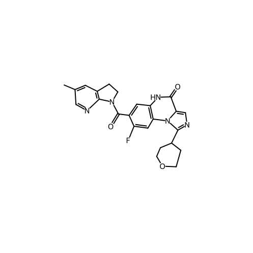 Cc1cnc2c(c1)CCN2C(=O)c1cc2[nH]c(=O)c3cnc(C4CCOCC4)n3c2cc1F